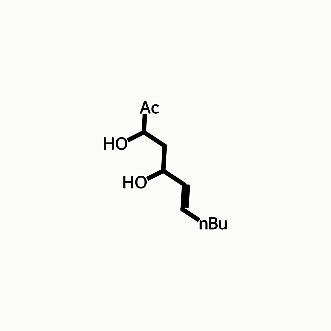 CCCCC=CC(O)CC(O)C(C)=O